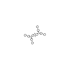 Cc1c2ccc(N(c3ccc(-c4ccccc4)cc3)c3ccc(-c4ccccc4)cc3)cc2c(C)c2ccc(N(c3ccc(-c4ccccc4)cc3)c3ccc(-c4ccccc4)cc3)cc12